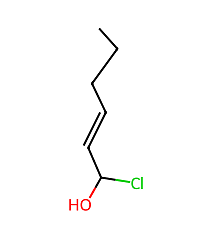 CCCC=CC(O)Cl